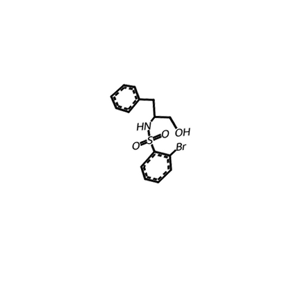 O=S(=O)(NC(CO)Cc1ccccc1)c1ccccc1Br